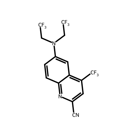 N#Cc1cc(C(F)(F)F)c2cc(N(CC(F)(F)F)CC(F)(F)F)ccc2n1